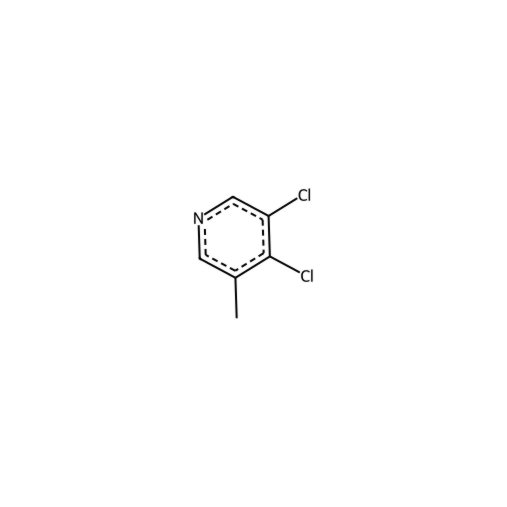 Cc1cncc(Cl)c1Cl